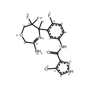 CC1(c2cc(NC(=O)c3n[nH]cc3Cl)ccc2F)N=C(N)COCC1(F)F